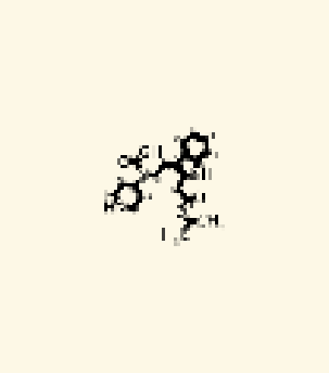 CC(C)OC(=O)Cc1[nH]c2ccccc2c1CCN(C(=O)O)C1CCNCC1